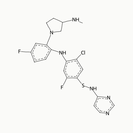 CNC1CCN(c2cc(F)ccc2Nc2cc(F)c(SNc3ccncn3)cc2Cl)C1